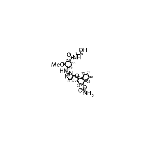 COc1cc(C(=O)NCCO)ccc1Nc1nccc(Oc2ccc(OC(N)=O)c3ccccc23)n1